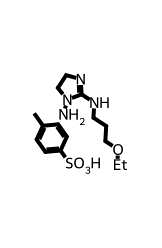 CCOCCCNC1=NCCN1N.Cc1ccc(S(=O)(=O)O)cc1